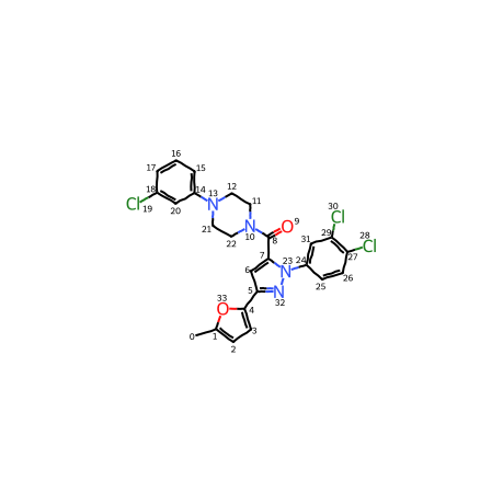 Cc1ccc(-c2cc(C(=O)N3CCN(c4cccc(Cl)c4)CC3)n(-c3ccc(Cl)c(Cl)c3)n2)o1